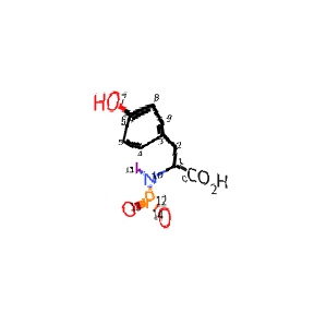 O=C(O)C(Cc1ccc(O)cc1)N(I)P(=O)=O